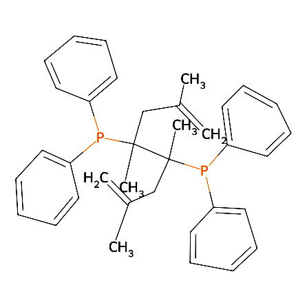 C=C(C)CC(C)(P(c1ccccc1)c1ccccc1)C(C)(CC(=C)C)P(c1ccccc1)c1ccccc1